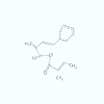 C=C(C=Cc1ccccc1)C(=O)OC(=O)C(C)=CC